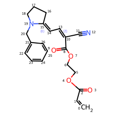 C=CC(=O)OCCOC(=O)/C(C#N)=C\C=C1/CCCN1Cc1ccccc1